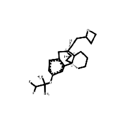 BC(B)(Oc1ccc2c(c1)[C@]13CCCC[C@@H]1[C@H](C2)N(CC1CCO1)CC3)C(F)F